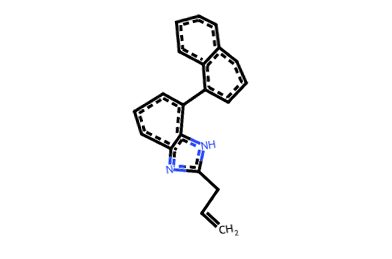 C=CCc1nc2cccc(-c3cccc4ccccc34)c2[nH]1